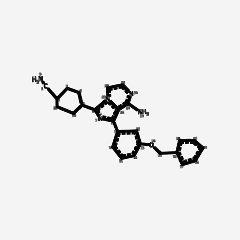 NCC1CCC(c2nc(-c3cccc(OCc4ccccc4)c3)c3c(N)nccn23)CC1